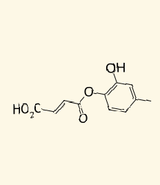 Cc1ccc(OC(=O)/C=C/C(=O)O)c(O)c1